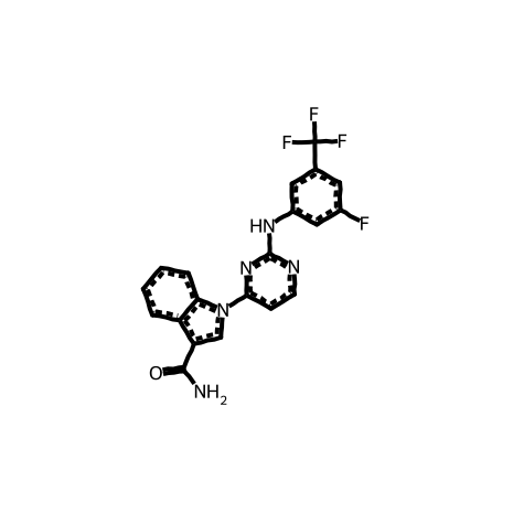 NC(=O)c1cn(-c2ccnc(Nc3cc(F)cc(C(F)(F)F)c3)n2)c2ccccc12